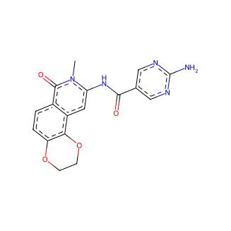 Cn1c(NC(=O)c2cnc(N)nc2)cc2c3c(ccc2c1=O)OCCO3